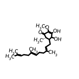 COC1=C(O)C(O)C(C/C=C(\C)CC/C=C(\C)CCC=C(C)C)[C@H](C)C1=O